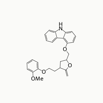 C=C1OC(COc2cccc3[nH]c4ccccc4c23)CC1CCOc1ccccc1OC